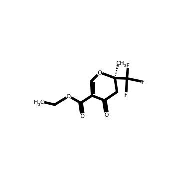 CCOC(=O)C1=CO[C@@](C)(C(F)(F)F)CC1=O